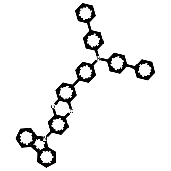 c1ccc(-c2ccc(N(c3ccc(-c4ccccc4)cc3)c3ccc(-c4ccc5c(c4)Oc4ccc(-n6c7ccccc7c7ccccc76)cc4O5)cc3)cc2)cc1